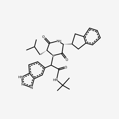 CC(C)C[C@@H]1C(=O)N[C@H](C2Cc3ccccc3C2)C(=O)N1C(C(=O)NC(C)(C)C)c1ccc2[nH]nnc2c1